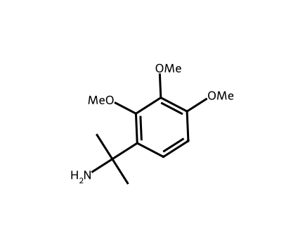 COc1ccc(C(C)(C)N)c(OC)c1OC